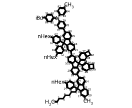 C=CCCCCCCC1(c2ccc(CCCCCC)cc2)c2cc(C)ccc2-c2ccc(-c3ccc4c(c3)C(c3ccc5c(c3)CC5)(c3ccc5c(c3)CC5)c3cc(-c5ccc6c(c5)C(c5ccc(CCCCCC)cc5)(c5ccc(CCCCCC)cc5)c5cc(-c7ccc(N(c8ccc(C)cc8)c8ccc(C(C)CC)cc8)cc7)ccc5-6)ccc3-4)cc21